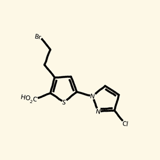 O=C(O)c1sc(-n2ccc(Cl)n2)cc1CCBr